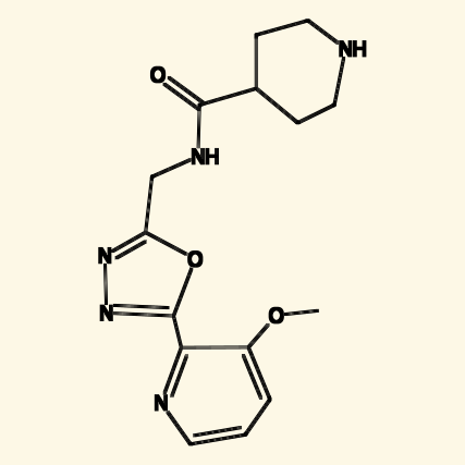 COc1cccnc1-c1nnc(CNC(=O)C2CCNCC2)o1